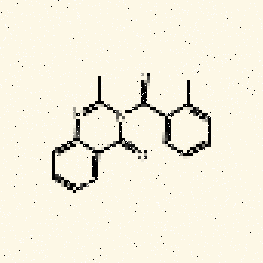 Cc1ccccc1C(=O)n1c(C)nc2ccccc2c1=O